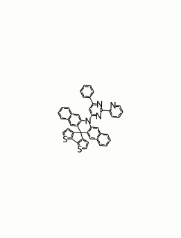 c1ccc(-c2cc(N3c4cc5ccccc5cc4C4(c5cc6ccccc6cc53)c3ccsc3-c3sccc34)nc(-c3ccccn3)n2)cc1